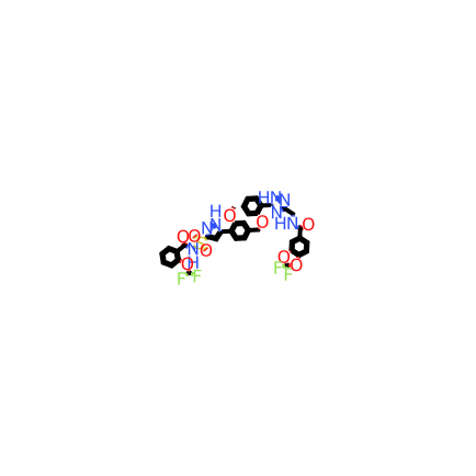 COc1cc(COc2ccccc2-c2nc(CNC(=O)c3ccc4c(c3)OC(F)(F)O4)n[nH]2)ccc1-c1cc(S(=O)(=O)NC(=O)c2ccccc2OC(F)F)n[nH]1